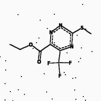 CCOC(=O)c1nnc(SC)nc1C(F)(F)F